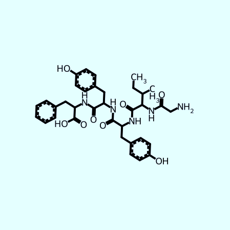 CCC(C)C(NC(=O)CN)C(=O)NC(Cc1ccc(O)cc1)C(=O)NC(Cc1ccc(O)cc1)C(=O)NC(Cc1ccccc1)C(=O)O